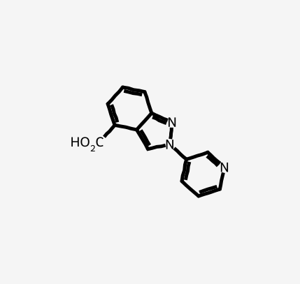 O=C(O)c1cccc2nn(-c3cccnc3)cc12